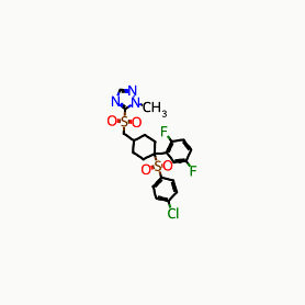 Cn1ncnc1S(=O)(=O)CC1CCC(c2cc(F)ccc2F)(S(=O)(=O)c2ccc(Cl)cc2)CC1